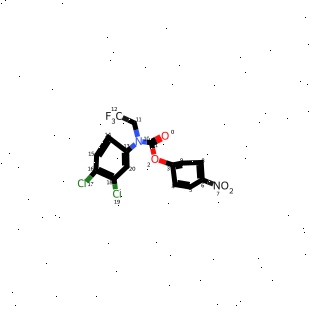 O=C(Oc1ccc([N+](=O)[O-])cc1)N(CC(F)(F)F)c1ccc(Cl)c(Cl)c1